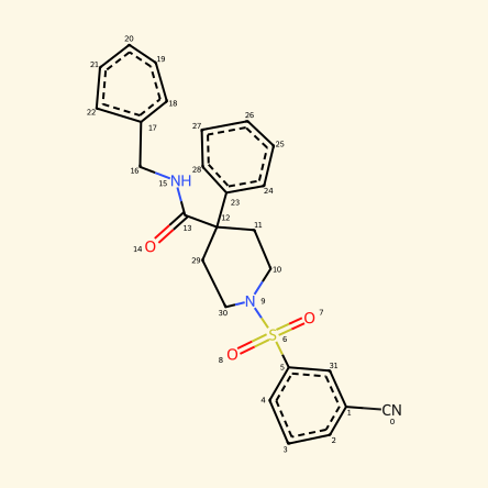 N#Cc1cccc(S(=O)(=O)N2CCC(C(=O)NCc3ccccc3)(c3ccccc3)CC2)c1